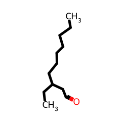 CCCCCCCC(CC)CC=O